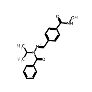 CC(C)N(/N=C/c1ccc(C(=O)NO)cc1)C(=O)c1ccccc1